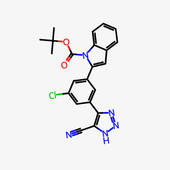 CC(C)(C)OC(=O)n1c(-c2cc(Cl)cc(-c3nn[nH]c3C#N)c2)cc2ccccc21